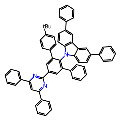 CC(C)(C)c1ccc(-c2cc(-c3nc(-c4ccccc4)cc(-c4ccccc4)n3)cc(-c3ccccc3)c2-n2c3ccc(-c4ccccc4)cc3c3cc(-c4ccccc4)ccc32)cc1